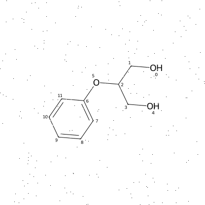 OCC(CO)Oc1ccccc1